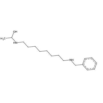 CC(O)NCCCCCCCCNCc1ccccc1